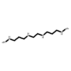 CCCNCCCNCCNCCCNCCC